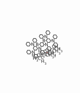 CC(C)(C)c1cc(N2c3cc4c(cc3B3c5ccccc5N(c5ccccc5)c5cc(N(c6ccccc6)c6ccccc6)cc2c53)B2c3ccccc3N(c3ccccc3)c3cc(N(c5ccccc5)c5ccccc5)cc(c32)N4c2cc(C(C)(C)C)cc(C(C)(C)C)c2)cc(C(C)(C)C)c1